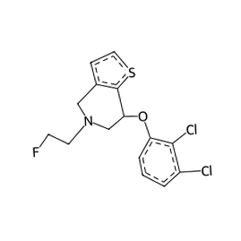 FCCN1Cc2ccsc2C(Oc2cccc(Cl)c2Cl)C1